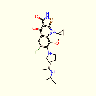 COc1c(N2CC[C@@H](C(C)NC(C)C)C2)c(F)cc2c(=O)c3c(=O)[nH]sc3n(C3CC3)c12